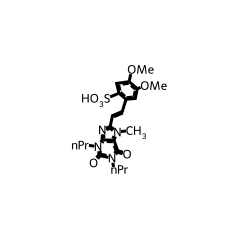 CCCn1c(=O)c2c(nc(C=Cc3cc(OC)c(OC)cc3S(=O)(=O)O)n2C)n(CCC)c1=O